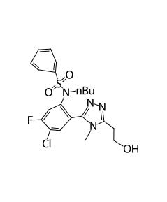 CCCCN(c1cc(F)c(Cl)cc1-c1nnc(CCO)n1C)S(=O)(=O)c1ccccc1